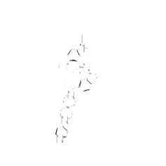 CN(C(=O)c1cc(C(F)(F)F)ccc1Cl)C1CCc2ccc(C(=O)N3CCC4(CC3)CCN(c3ccncc3)CC4)cc21